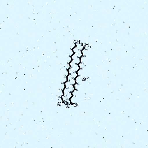 CCCCCCCCCCCCCCCCCC(=O)[O-].CCCCCCCCCCCCCCCCCC(=O)[O-].[Zr+2]